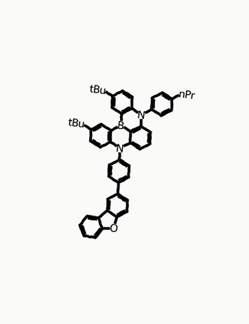 CCCc1ccc(N2c3ccc(C(C)(C)C)cc3B3c4cc(C(C)(C)C)ccc4N(c4ccc(-c5ccc6oc7ccccc7c6c5)cc4)c4cccc2c43)cc1